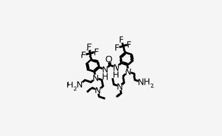 CCN(CC)CCN(CCN)c1ccc(C(F)(F)F)cc1NC(=O)Nc1cc(C(F)(F)F)ccc1N(CCN)CCN(CC)CC